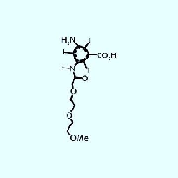 COCCOCCOCC(=O)N(C)c1c(I)c(N)c(I)c(C(=O)O)c1I